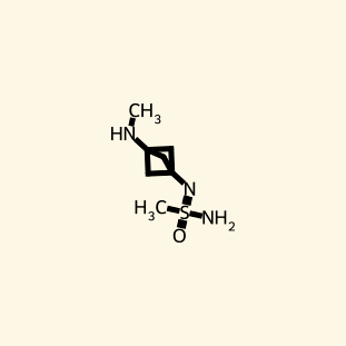 CNC12CC(N=S(C)(N)=O)(C1)C2